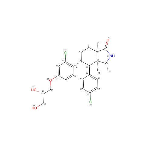 C[C@H]1NC(=O)[C@]2(C)CC[C@@H](c3ccc(OC[C@@H](O)CO)cc3Cl)[C@H](c3ccc(Cl)cc3)[C@H]12